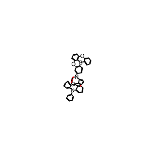 c1ccc(N2c3ccccc3[Si]3(c4ccccc42)c2ccccc2N(c2ccc4c(c2)Oc2cccc5c2B4c2ccccc2O5)c2ccccc23)cc1